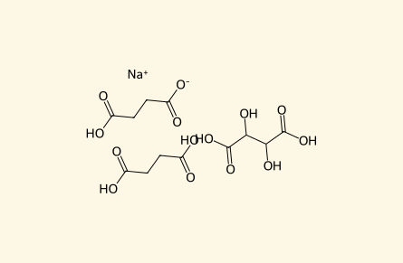 O=C(O)C(O)C(O)C(=O)O.O=C(O)CCC(=O)O.O=C([O-])CCC(=O)O.[Na+]